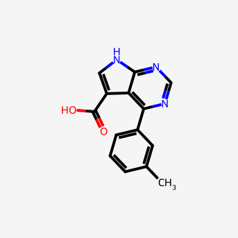 Cc1cccc(-c2ncnc3[nH]cc(C(=O)O)c23)c1